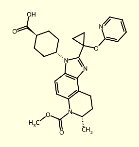 COC(=O)N1c2ccc3c(nc(C4(Oc5ccccn5)CC4)n3[C@H]3CC[C@H](C(=O)O)CC3)c2CC[C@@H]1C